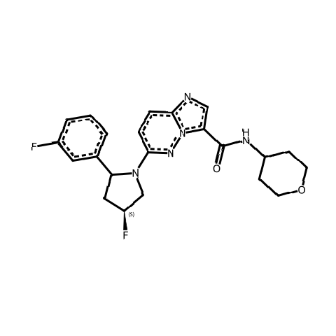 O=C(NC1CCOCC1)c1cnc2ccc(N3C[C@@H](F)CC3c3cccc(F)c3)nn12